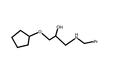 CC(C)CNCC(O)COC1CCCC1